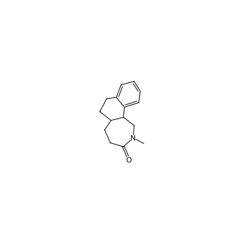 CN1CC2c3ccccc3CCC2CCC1=O